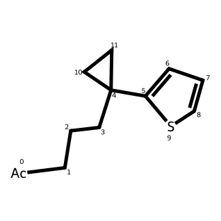 CC(=O)CCCC1(c2cccs2)CC1